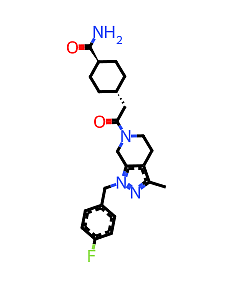 Cc1nn(Cc2ccc(F)cc2)c2c1CCN(C(=O)C[C@H]1CC[C@H](C(N)=O)CC1)C2